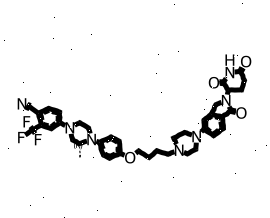 C[C@@H]1CN(c2ccc(C#N)c(C(F)(F)F)c2)CCN1c1ccc(OCCCCN2CCN(c3ccc4c(c3)CN(C3CCC(=O)NC3=O)C4=O)CC2)cc1